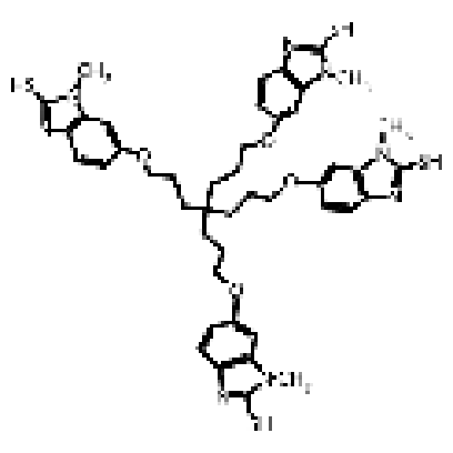 Cn1c(S)nc2ccc(OCCCC(CCCOc3ccc4nc(S)n(C)c4c3)(CCCOc3ccc4nc(S)n(C)c4c3)CCCOc3ccc4nc(S)n(C)c4c3)cc21